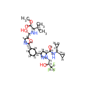 COC(=O)[C@@H](NC(O)c1cnc(-c2cccc(-c3cc(C(=O)NC(C4CC4)C4CC4)n(CC(O)C(F)(F)F)n3)c2)o1)C(C)C